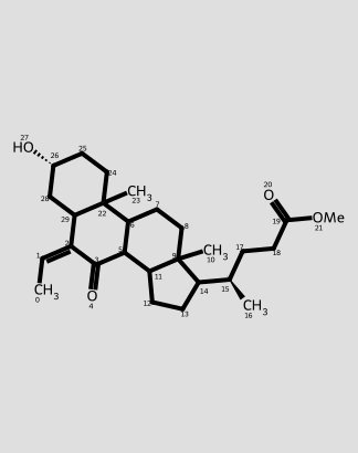 C/C=C1\C(=O)C2C(CCC3(C)C2CCC3[C@H](C)CCC(=O)OC)C2(C)CC[C@@H](O)CC12